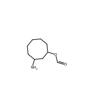 NC1CCCCCC(OC=O)C1